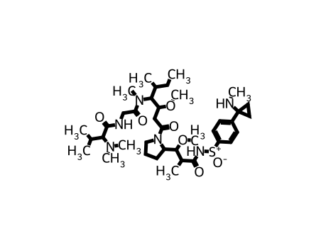 CCC(C)C(C(CC(=O)N1CCCC1C(OC)C(C)C(=O)N[S+]([O-])c1ccc(C2(NC)CC2)cc1)OC)N(C)C(=O)CNC(=O)C(C(C)C)N(C)C